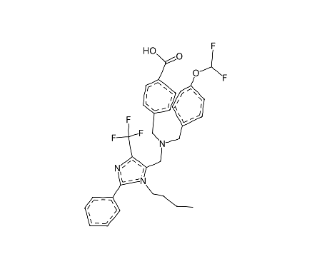 CCCCn1c(-c2ccccc2)nc(C(F)(F)F)c1CN(Cc1ccc(OC(F)F)cc1)Cc1ccc(C(=O)O)cc1